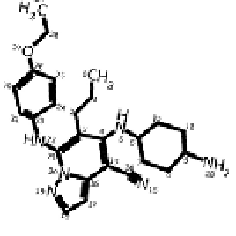 CCCc1c(NC2CCC(N)CC2)c(C#N)c2ccnn2c1Nc1ccc(OCC)cc1